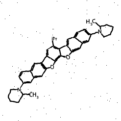 CC(C)c1cc2c3cc4ccc(N5CCCCC5C)cc4cc3oc2c2oc3cc4cc(N5CCCCC5C)ccc4cc3c12